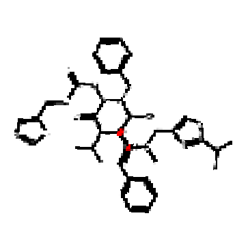 CC(C)c1nc(CN(C)C(=O)N[C@H](C(=O)N(NC(=O)OCc2cncs2)[C@@H](Cc2ccccc2)[C@@H](O)CNCc2ccccc2)C(C)C)cs1